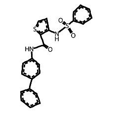 O=C(Nc1ccc(-c2ccccc2)cc1)c1sccc1NS(=O)(=O)c1ccccc1